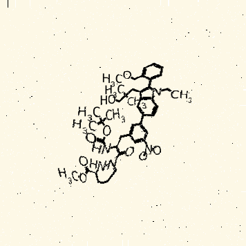 CCn1c(-c2ccccc2COC)c(CC(C)(C)CO)c2cc(-c3cc(C[C@H](NC(=O)OC(C)(C)C)C(=O)N4CCC[C@@H](C(=O)OC)N4)cc([N+](=O)[O-])c3)ccc21